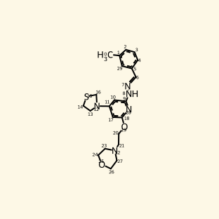 Cc1cccc(C=NNc2cc(N3CCSC3)cc(OCCN3CCOCC3)n2)c1